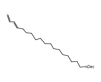 [C]=CC=CCCCCCCCCCCCCCCCCCCCCCCCC